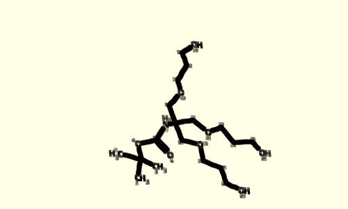 CC(C)(C)OC(=O)NC(COCCCO)(COCCCO)COCCCO